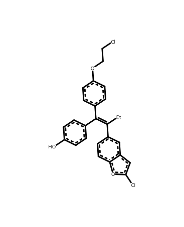 CC/C(=C(/c1ccc(O)cc1)c1ccc(OCCCl)cc1)c1ccc2oc(Cl)cc2c1